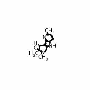 Cc1ccc2[nH]c3c(c2n1)CC(C)(C)N(C)C3